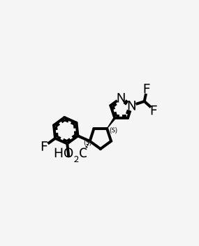 Cc1c(F)cccc1[C@]1(C(=O)O)CC[C@H](c2cnn(C(F)F)c2)C1